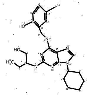 CCC(CO)Nc1nc(NCc2cc(F)ccc2O)c2ncn(C3CCCCC3)c2n1